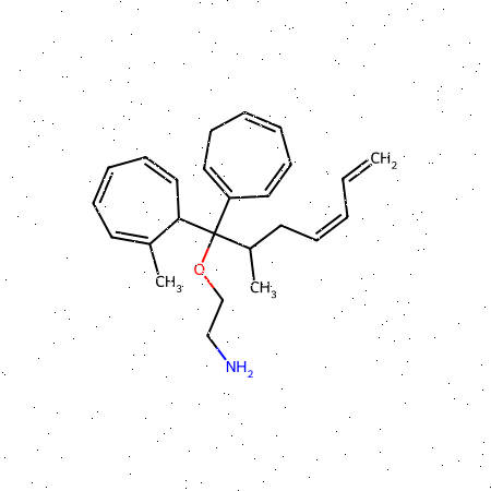 C=C/C=C\CC(C)C(OCCN)(C1=CCC=CC=C1)C1C=CC=CC=C1C